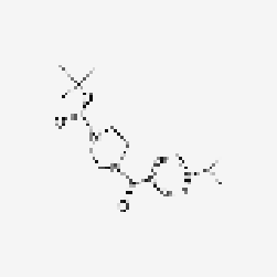 CC(C)c1ccc(C(=O)N2CCN(C(=O)OC(C)(C)C)CC2)cc1